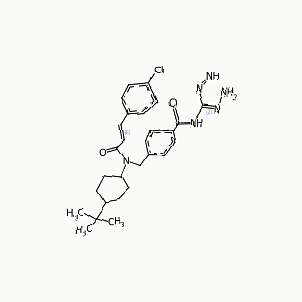 CC(C)(C)C1CCC(N(Cc2ccc(C(=O)N/C(N=N)=N/N)cc2)C(=O)/C=C/c2ccc(Cl)cc2)CC1